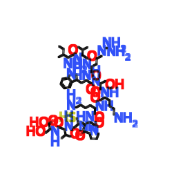 CCC(C)C(N)C(=O)NC(C(=O)NC(CCCN=C(N)N)C(=O)NC(CC1C=Nc2ccccc21)C(=O)NC(CO)C(=O)NC(CCCCN)C(=O)NC(CCCCN)C(=O)NC(C(=O)N1CCCC1C(=O)NC(CS)C(=O)NC(C(=O)NC(CO)C(=O)O)C(C)C)C(C)C)C(C)C